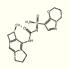 C[C@@H]1Cc2cc3c(c(NC(=O)N=[S@](N)(=O)c4cnn5c4OCCC5)c21)CCC3